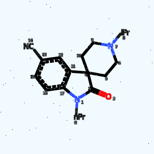 CCCN1C(=O)C2(CCN(C(C)C)CC2)c2cc(C#N)ccc21